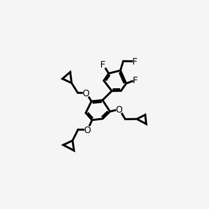 FCc1c(F)cc(-c2c(OCC3CC3)cc(OCC3CC3)cc2OCC2CC2)cc1F